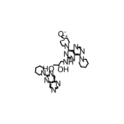 [O-][S+]1CCN(c2nc(NCC(O)CO)nc3c(N4CCCCC4)ncnc23)CC1.c1ncc2nc(N3CCCCC3)ncc2n1